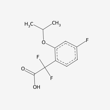 CC(C)Oc1cc(F)ccc1C(F)(F)C(=O)O